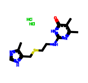 Cc1nc[nH]c1CSCCNc1nc(C)c(C)c(=O)[nH]1.Cl.Cl